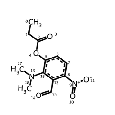 CCC(=O)Oc1ccc([N+](=O)[O-])c(C=O)c1N(C)C